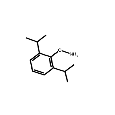 CC(C)c1cccc(C(C)C)c1ON